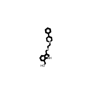 OCc1cccc2c(CSCCN3CC=C(c4ccccc4)CC3)c[nH]c12